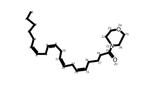 CCCCC/C=C\C/C=C\C/C=C\C/C=C\CCCC(=O)N1CCOCC1